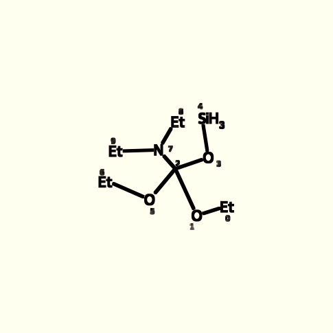 CCOC(O[SiH3])(OCC)N(CC)CC